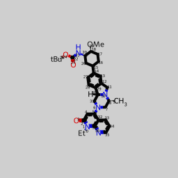 CCn1c(=O)cc(N2C[C@@H](C)N3Cc4cc(C5CC[C@@H](OC)[C@H](NC(=O)OC(C)(C)C)C5)ccc4[C@H]3C2)c2cccnc21